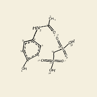 CC(=O)Nc1ccc(O)cc1.O=S(=O)(O)CS(=O)(=O)O